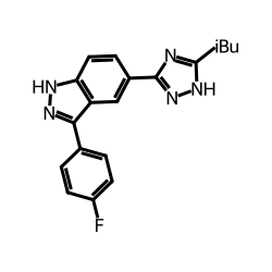 CCC(C)c1nc(-c2ccc3[nH]nc(-c4ccc(F)cc4)c3c2)n[nH]1